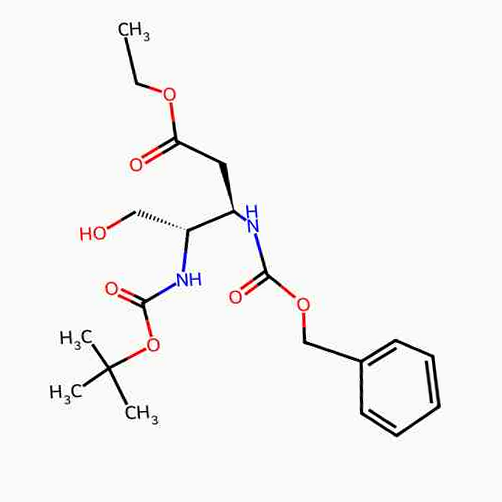 CCOC(=O)C[C@@H](NC(=O)OCc1ccccc1)[C@@H](CO)NC(=O)OC(C)(C)C